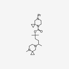 CC(C)N1CCN(C(=O)OC(C)(C)CCC(C)N2CCN(C)C3(CC3)C2)C2(CC2)C1